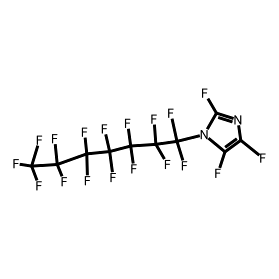 Fc1nc(F)n(C(F)(F)C(F)(F)C(F)(F)C(F)(F)C(F)(F)C(F)(F)C(F)(F)F)c1F